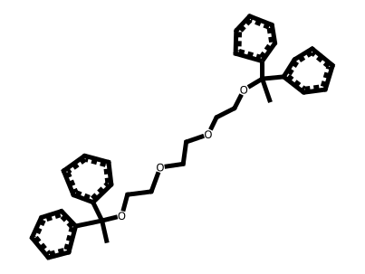 CC(OCCOCCOCCOC(C)(c1ccccc1)c1ccccc1)(c1ccccc1)c1ccccc1